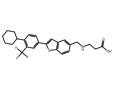 O=C(O)CCNCc1ccc2sc(-c3ccc(C4CCCCC4)c(C(F)(F)F)c3)cc2c1